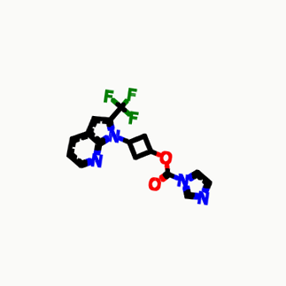 O=C(OC1CC(n2c(C(F)(F)F)cc3cccnc32)C1)n1ccnc1